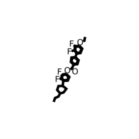 CCCC1CCC(c2ccc(OC(=O)c3ccc(-c4ccc(OCC)c(F)c4F)cc3)c(F)c2F)CC1